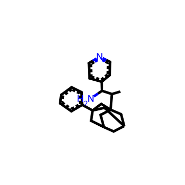 CC(C(N)c1ccncc1)C12CC3CC(CC(c4ccccc4)(C3)C1)C2